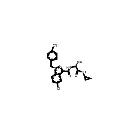 CC(C)(C)[C@H](NC(=O)c1nn(Cc2ccc(C#N)cc2)c2ccc(Cl)cc12)C(=O)NC1CC1